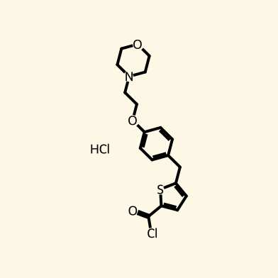 Cl.O=C(Cl)c1ccc(Cc2ccc(OCCN3CCOCC3)cc2)s1